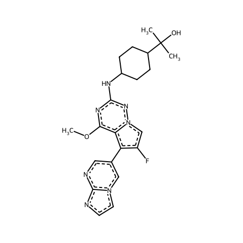 COc1nc(NC2CCC(C(C)(C)O)CC2)nn2cc(F)c(-c3cnc4nccn4c3)c12